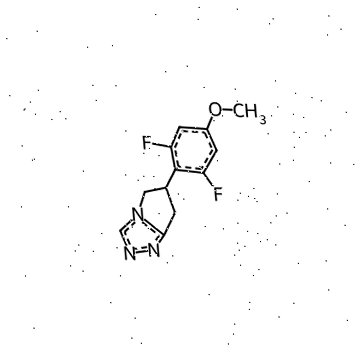 COc1cc(F)c(C2Cc3nncn3C2)c(F)c1